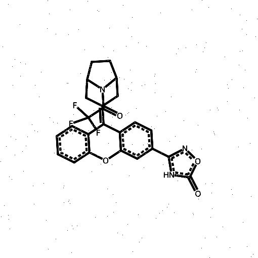 O=C(N1C2CCC1CC(=C1c3ccccc3Oc3cc(-c4noc(=O)[nH]4)ccc31)C2)C(F)(F)F